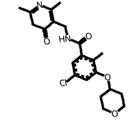 CC1=NC(C)=C(CNC(=O)c2cc(Cl)cc(OC3CCOCC3)c2C)C(=O)C1